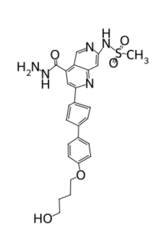 CS(=O)(=O)Nc1cc2nc(-c3ccc(-c4ccc(OCCCCO)cc4)cc3)cc(C(=O)NN)c2cn1